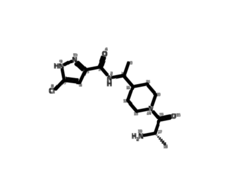 CC(NC(=O)c1cc(Cl)[nH]n1)C1CCN(C(=O)[C@H](C)N)CC1